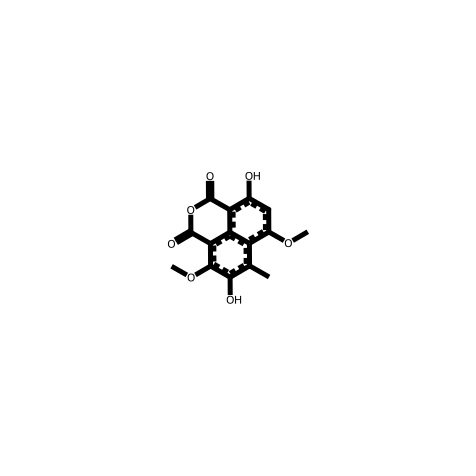 COc1c(O)c(C)c2c(OC)cc(O)c3c2c1C(=O)OC3=O